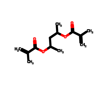 C=C(C)C(=O)OC(C)CC(C)OC(=O)C(=C)C